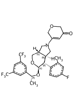 Cc1cc(F)ccc1[C@@H]1[C@@H](O[C@H](C)c2cc(C(F)(F)F)cc(C(F)(F)F)c2)OC[C@@H]2CN(C3=CC(=O)COC3)C[C@H]21